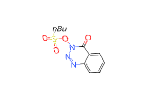 CCCCS(=O)(=O)On1nnc2ccccc2c1=O